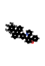 [2H]c1c([2H])c([2H])c(-c2c3ccccc3c(-c3ccc(-c4ccc5oc6ccccc6c5c4-c4ccccn4)cc3)c3ccccc23)c([2H])c1[2H]